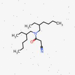 CCCCC(CC)CN(CC(CC)CCCC)C(=O)CC#N